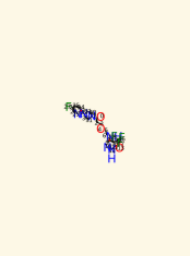 O=C(CCOCCNc1cn[nH]c(=O)c1C(F)(F)F)N1CCN(c2ccc(F)cn2)CC1